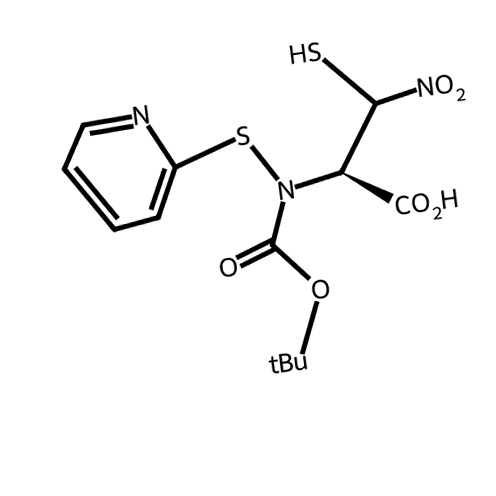 CC(C)(C)OC(=O)N(Sc1ccccn1)[C@H](C(=O)O)C(S)[N+](=O)[O-]